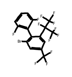 Fc1cccc(F)c1-c1c(Br)[c]c(C(F)(F)F)cc1C(F)(C(F)(F)F)C(F)(F)F